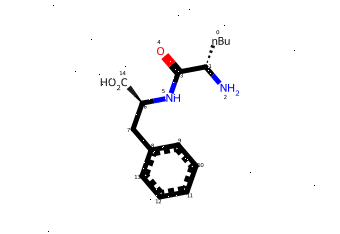 CCCC[C@H](N)C(=O)N[C@@H](Cc1ccccc1)C(=O)O